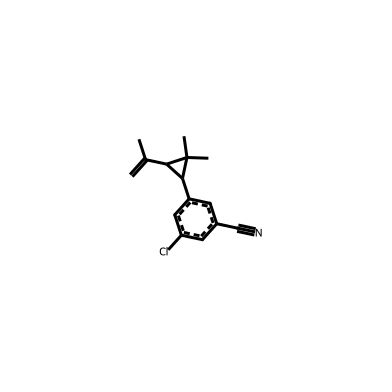 C=C(C)C1C(c2cc(Cl)cc(C#N)c2)C1(C)C